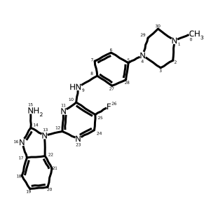 CN1CCN(c2ccc(Nc3nc(-n4c(N)nc5ccccc54)ncc3F)cc2)CC1